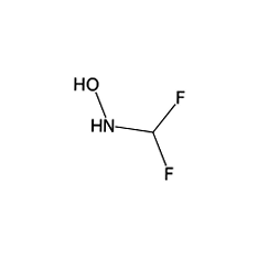 ONC(F)F